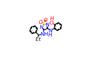 CCC(NC1=NS(=O)(=O)N=C1Nc1ccccc1O)c1ccccc1